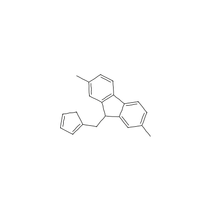 Cc1ccc2c(c1)C(CC1=CC=CC1)c1cc(C)ccc1-2